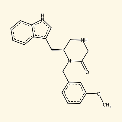 COc1cccc(CN2C(=O)CNC[C@@H]2Cc2c[nH]c3ccccc23)c1